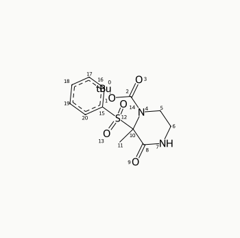 CC(C)(C)OC(=O)N1CCNC(=O)C1(C)S(=O)(=O)c1ccccc1